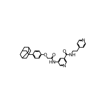 O=C(COc1ccc(C23CC4CC(CC(C4)C2)C3)cc1)Nc1cncc(C(=O)NCCc2ccncc2)c1